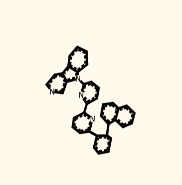 c1cc(-c2cccc(-n3c4ccccc4c4ccncc43)n2)nc(-c2ccccc2-c2cccc3ccccc23)c1